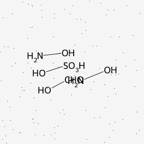 NO.NO.O=CO.O=S(=O)(O)O